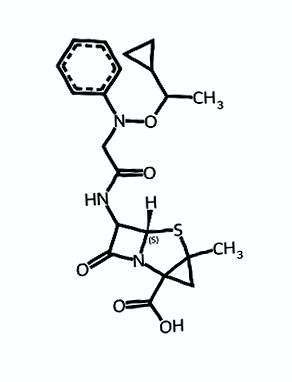 CC(ON(CC(=O)NC1C(=O)N2[C@H]1SC1(C)CC21C(=O)O)c1ccccc1)C1CC1